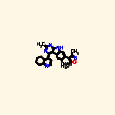 COc1cc2c(cc1-c1c(C)noc1C)[nH]c1nc(C)nc(-c3ccnc4c3CCCC4)c12